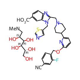 CNC[C@H](O)[C@@H](O)[C@H](O)[C@H](O)CO.N#Cc1ccc(COc2cccc(C3CCN(Cc4nc5ccc(C(=O)O)cc5n4Cc4cncs4)CC3)n2)c(F)c1